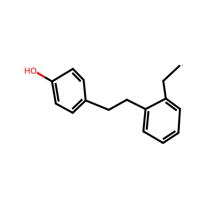 [CH2]Cc1ccccc1CCc1ccc(O)cc1